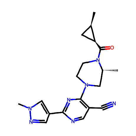 C[C@@H]1C[C@@H]1C(=O)N1CCN(c2nc(-c3cnn(C)c3)ncc2C#N)C[C@H]1C